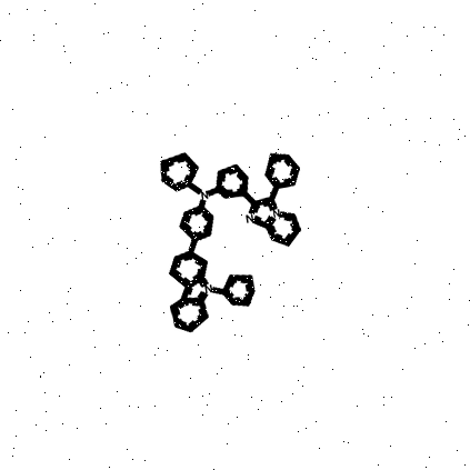 c1ccc(-c2c(-c3cccc(N(c4ccccc4)c4ccc(-c5ccc6c7ccccc7n(-c7ccccc7)c6c5)cc4)c3)nc3ccccn23)cc1